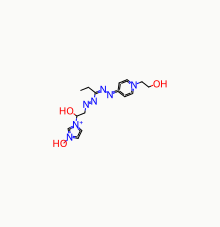 CCC(N=NCC(O)[n+]1ccn(O)c1)=NN=c1ccn(CCO)cc1